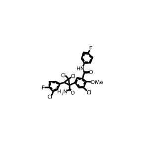 COc1c(Cl)cc(C2(C(N)=O)C(c3ccc(F)c(Cl)c3)C2(Cl)Cl)cc1C(=O)Nc1ccc(F)cc1